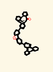 O=C1c2ccccc2-c2cccc3c2CCC1c1ccc(-c2ccc4oc5ccc(-c6ccc7c8ccccc8c8ccccc8c7c6)cc5c4c2)cc1-3